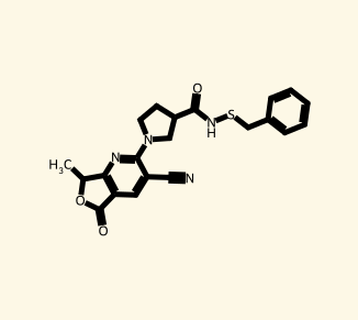 CC1OC(=O)c2cc(C#N)c(N3CCC(C(=O)NSCc4ccccc4)C3)nc21